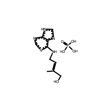 C/C(=C\CNc1ncnc2[nH]cnc12)CO.O=P(O)(O)O